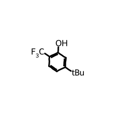 CC(C)(C)c1ccc(C(F)(F)F)c(O)c1